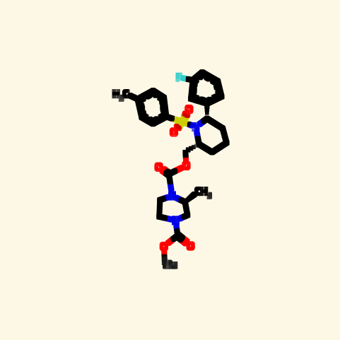 Cc1ccc(S(=O)(=O)N2[C@@H](COC(=O)N3CCN(C(=O)OC(C)(C)C)C[C@@H]3C)CCC[C@H]2c2cccc(F)c2)cc1